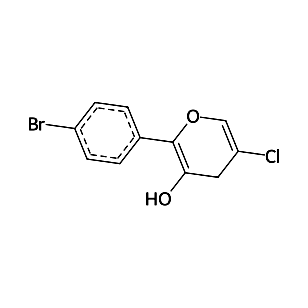 OC1=C(c2ccc(Br)cc2)OC=C(Cl)C1